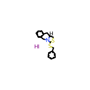 I.c1ccc(CSC2SC[C@@H]3Cc4ccccc4CN23)cc1